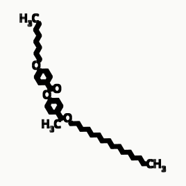 CCCCCCCCCCCCCCCCOC(C)c1ccc(OC(=O)c2ccc(OCCCCCCCC)cc2)cc1